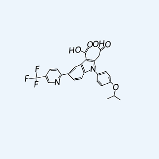 CC(C)Oc1ccc(-n2c(CC(=O)O)c(C(=O)O)c3cc(-c4ccc(C(F)(F)F)cn4)ccc32)cc1